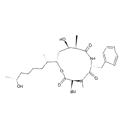 CC[C@H](C)[C@H]1C(=O)O[C@H]([C@@H](C)CCCC[C@@H](C)O)C[C@@H](O)[C@@H](C)C(=O)N[C@H](Cc2ccccc2)C(=O)N1C